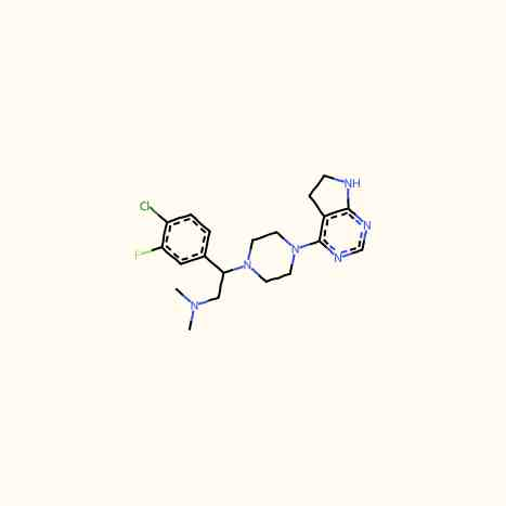 CN(C)CC(c1ccc(Cl)c(F)c1)N1CCN(c2ncnc3c2CCN3)CC1